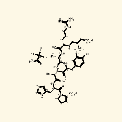 CC[C@H](C)[C@H](NC(=O)[C@H](Cc1ccc(O)c(C(F)(F)F)c1)NC(=O)[C@@H](NC(=O)[C@H](CCCNC(=N)N)NC[C@@H](N)CC(=O)O)C(C)C)C(=O)N[C@@H](Cc1c[nH]cn1)C(=O)N1CCC[C@H]1C(=O)O.O=C(O)C(F)(F)F